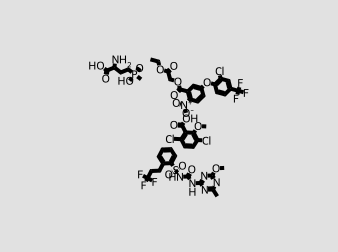 CCOC(=O)COC(=O)c1cc(Oc2ccc(C(F)(F)F)cc2Cl)ccc1[N+](=O)[O-].COc1c(Cl)ccc(Cl)c1C(=O)O.COc1nc(C)nc(NC(=O)NS(=O)(=O)c2ccccc2CCC(F)(F)F)n1.CP(=O)(O)CCC(N)C(=O)O